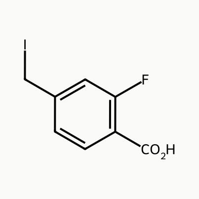 O=C(O)c1ccc(CI)cc1F